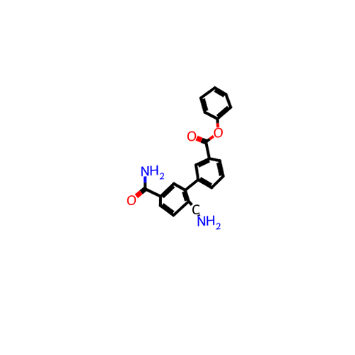 NCc1ccc(C(N)=O)cc1-c1cccc(C(=O)Oc2ccccc2)c1